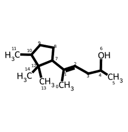 CC(=CCC(C)O)C1CCC(C)C1(C)C